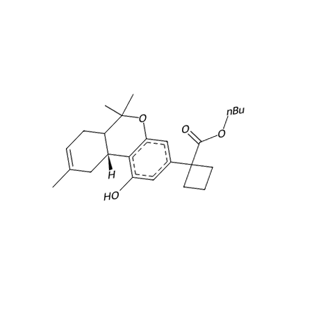 CCCCOC(=O)C1(c2cc(O)c3c(c2)OC(C)(C)C2CC=C(C)C[C@@H]32)CCC1